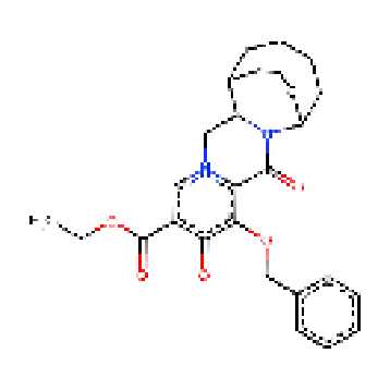 CCOC(=O)c1cn2c(c(OCc3ccccc3)c1=O)C(=O)N1C3CCCCC(CCC3)C1C2